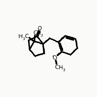 COC1=C(CC23CCC(CC2=O)C3(C)C)C=CC[CH]1